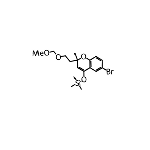 COCOCCC1(C)C=C(O[Si](C)(C)C)c2cc(Br)ccc2O1